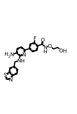 Nc1ccc(-c2ccc(C(=O)NOCCO)c(F)c2)nc1NCc1ccc2ncsc2c1